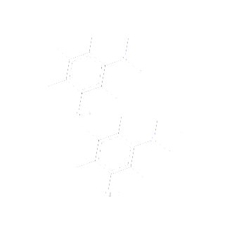 CC(=O)Nc1c(I)c(C(=O)[O-])c(I)c(N(C)C(C)=O)c1I.CC(=O)Nc1c(I)c(C(=O)[O-])c(I)c(N(C)C(C)=O)c1I.[Ca+2]